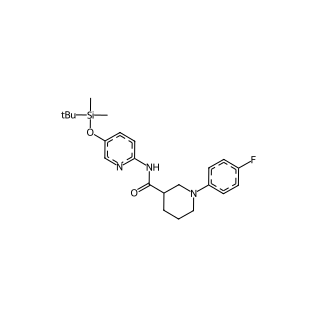 CC(C)(C)[Si](C)(C)Oc1ccc(NC(=O)C2CCCN(c3ccc(F)cc3)C2)nc1